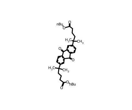 CCCCOC(=O)CCCC(C)(C)c1ccc2c(c1)C(=O)c1ccc(C(C)(C)CCCC(=O)OCCCC)cc1C2=O